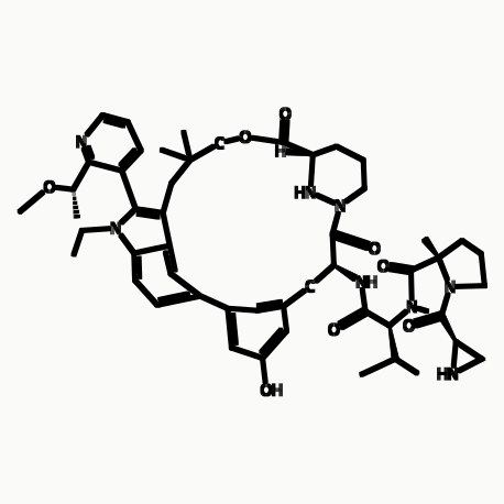 CCn1c(-c2cccnc2[C@H](C)OC)c2c3cc(ccc31)-c1cc(O)cc(c1)C[C@H](NC(=O)[C@H](C(C)C)N(C)C(=O)[C@]1(C)CCCN1C(=O)[C@H]1CN1)C(=O)N1CCC[C@H](N1)C(=O)OCC(C)(C)C2